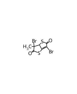 CC1(Br)C(=O)SC2=C(Br)C(=O)SC21